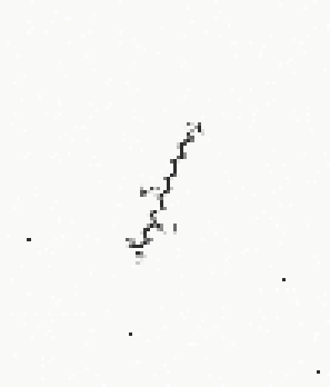 CCCCCCCCCCCC(O)CCC(=O)[O-].[Na+]